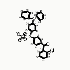 O=C(c1ccc(Sc2ccc([S+](c3ccccc3)c3ccccc3)cc2)cc1)c1ccccc1Cl.[O-][Cl+3]([O-])([O-])[O-]